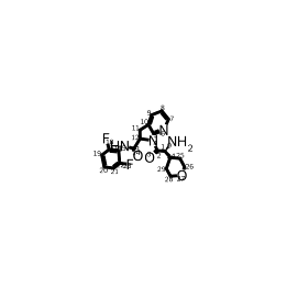 N[C@H](C(=O)N1c2ncccc2CC1C(=O)Nc1c(F)cccc1F)C1CCOCC1